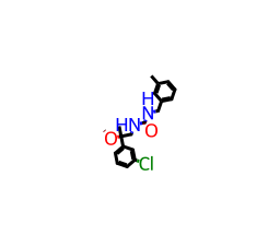 COC(C)(CNC(=O)NCc1cccc(C)c1)c1cccc(Cl)c1